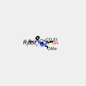 CCOC(=O)c1nc(N(CCCOC)c2cc(C)c(/N=c3\sc4ccccc4n3COCC[Si](C)(C)C)nn2)sc1C#CCO